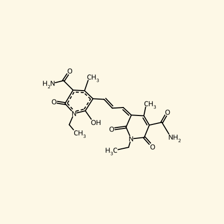 CCN1C(=O)C(=CC=Cc2c(C)c(C(N)=O)c(=O)n(CC)c2O)C(C)=C(C(N)=O)C1=O